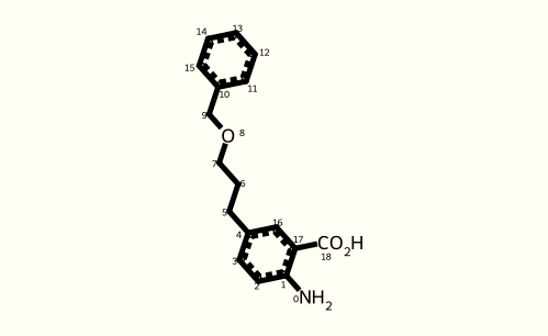 Nc1ccc(CCCOCc2ccccc2)cc1C(=O)O